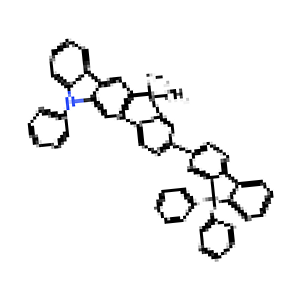 CC1(C)c2cc(-c3ccc4c(c3)C(c3ccccc3)(c3ccccc3)c3ccccc3-4)ccc2-c2cc3c(cc21)c1ccccc1n3-c1ccccc1